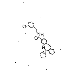 O=C(NCCc1cccc(Cl)c1)c1ccc2c(c1)N=C(N1CCCCC1)c1ccccc1S2